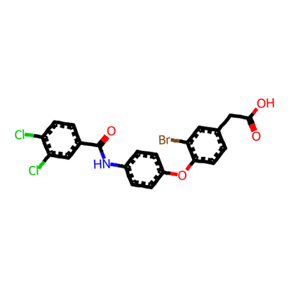 O=C(O)Cc1ccc(Oc2ccc(NC(=O)c3ccc(Cl)c(Cl)c3)cc2)c(Br)c1